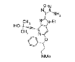 CCn1c(-c2nonc2N)nc2c(C#CC(C)(C)O)nc(OC(CCNC)c3ccccc3)cc21